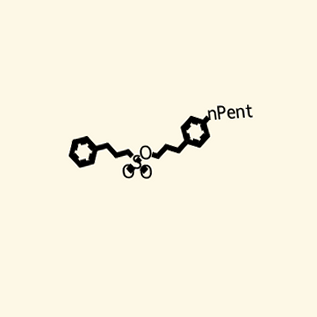 CCCCCc1ccc(CCCOS(=O)(=O)CCCc2ccccc2)cc1